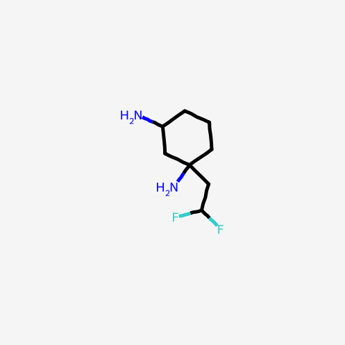 NC1CCCC(N)(CC(F)F)C1